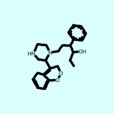 CCC(O)C(CCN1CCNCC1C1=C2CC=CC=C2OOC1)c1ccccc1